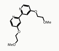 COCCOc1ccnc(-c2cc(OCCOC)ccn2)c1